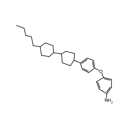 CCCCCC1CCC(C2CCC(c3ccc(Oc4ccc(N)cc4)cc3)CC2)CC1